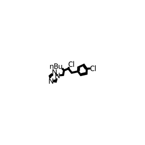 CCCCC(Cn1cncn1)C(Cl)Cc1ccc(Cl)cc1